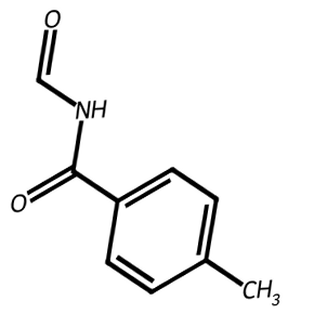 Cc1ccc(C(=O)NC=O)cc1